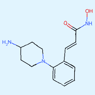 NC1CCN(c2ccccc2C=CC(=O)NO)CC1